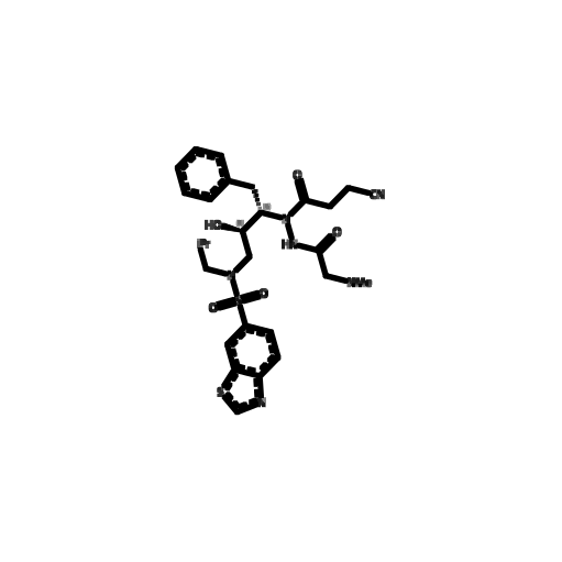 CNCC(=O)NN(C(=O)CCC#N)[C@@H](Cc1ccccc1)[C@H](O)CN(CC(C)C)S(=O)(=O)c1ccc2ncsc2c1